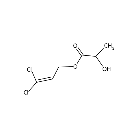 CC(O)C(=O)OCC=C(Cl)Cl